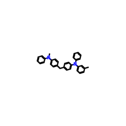 Cc1cccc(N(c2ccccc2)c2ccc(Cc3ccc(N(C)c4ccccc4)cc3)cc2)c1